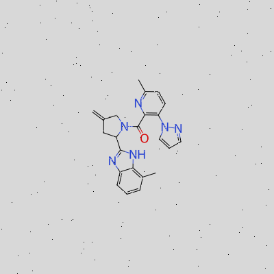 C=C1CC(c2nc3cccc(C)c3[nH]2)N(C(=O)c2nc(C)ccc2-n2cccn2)C1